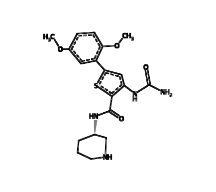 COc1ccc(OC)c(-c2cc(NC(N)=O)c(C(=O)N[C@H]3CCCNC3)s2)c1